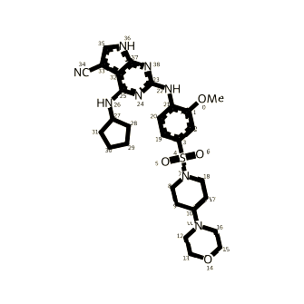 COc1cc(S(=O)(=O)N2CCC(N3CCOCC3)CC2)ccc1Nc1nc(NC2CCCC2)c2c(C#N)c[nH]c2n1